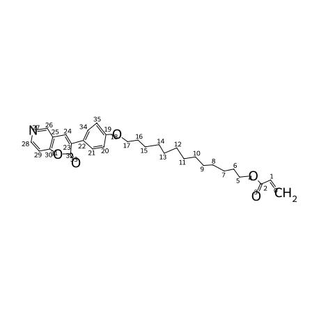 C=CC(=O)OCCCCCCCCCCCCCOc1ccc(-c2cc3cnccc3oc2=O)cc1